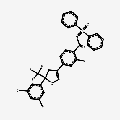 Cc1cc(C2=NOC(c3cc(Cl)cc(Cl)c3)(C(F)(F)F)C2)ccc1C(=O)N=S(=O)(c1ccccc1)c1ccccc1